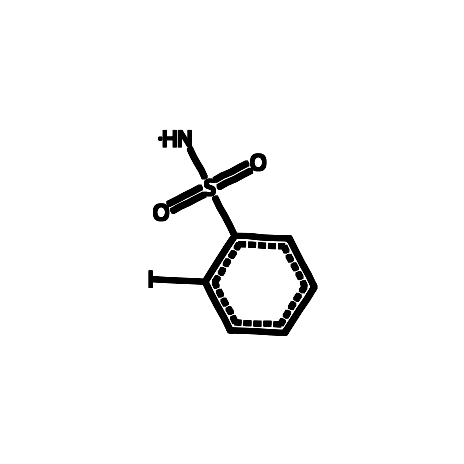 [NH]S(=O)(=O)c1ccccc1I